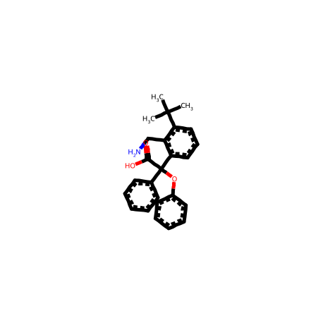 CC(C)(C)c1cccc(C(Oc2ccccc2)(C(=O)O)c2ccccc2)c1CN